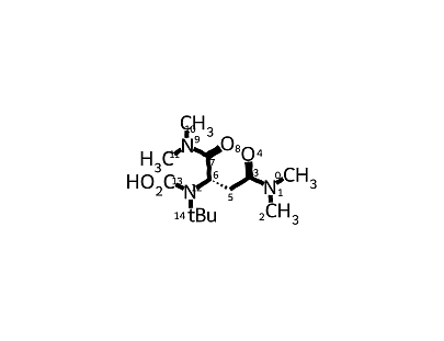 CN(C)C(=O)C[C@@H](C(=O)N(C)C)N(C(=O)O)C(C)(C)C